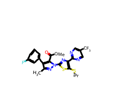 COC(=O)c1c(-c2cccc(F)c2)c(C)nn1-c1nc(-c2ncc(C(F)(F)F)cn2)c(SC(C)C)s1